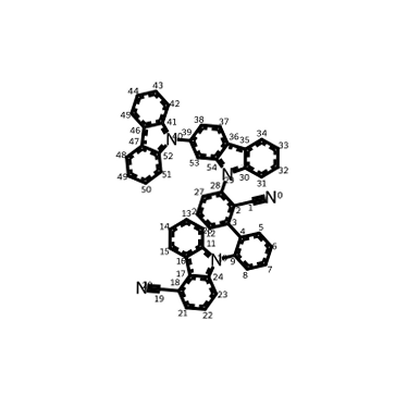 N#Cc1c(-c2ccccc2-n2c3ccccc3c3c(C#N)cccc32)cccc1-n1c2ccccc2c2ccc(-n3c4ccccc4c4ccccc43)cc21